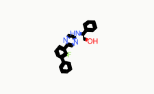 OC[C@@H](Nc1cnc(-c2cccc(-c3ccccc3)c2F)cn1)c1ccccc1